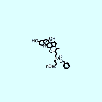 CCCCCCCCCCCCN(CCCC(C)[C@H]1CC[C@H]2C3[C@H](O)CC4C[C@H](O)CC[C@]4(C)[C@H]3C[C@H](O)[C@]12C)C(=O)OCc1ccccc1